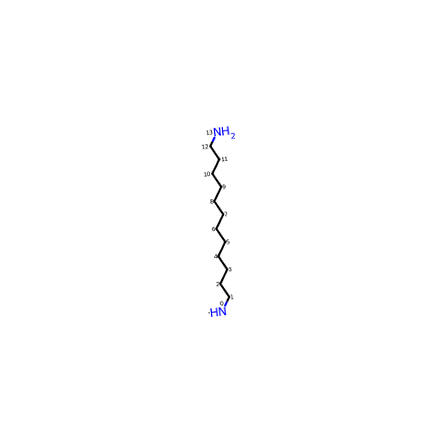 [NH]CCCCCCCCCCCCN